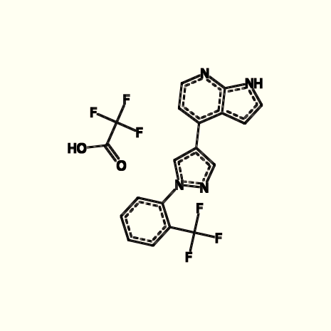 FC(F)(F)c1ccccc1-n1cc(-c2ccnc3[nH]ccc23)cn1.O=C(O)C(F)(F)F